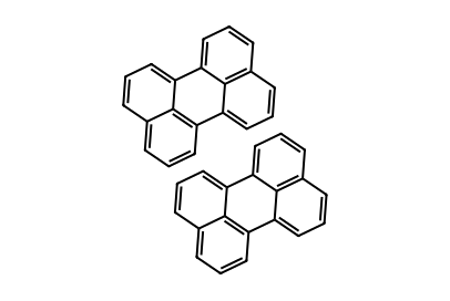 c1cc2cccc3c4cccc5cccc(c(c1)c23)c54.c1cc2cccc3c4cccc5cccc(c(c1)c23)c54